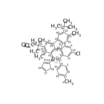 Cc1ccc(/[C](c2cccc(Cl)c2)=[Zr+2](\[C]2=CC=CC2)[c]2c(C)c(C(C)(C)C)cc3c2Cc2cc(C)c(C(C)(C)C)cc2-3)cc1.[Cl-].[Cl-]